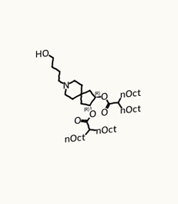 CCCCCCCCC(CCCCCCCC)C(=O)O[C@@H]1CC2(CCN(CCCCO)CC2)C[C@H]1OC(=O)C(CCCCCCCC)CCCCCCCC